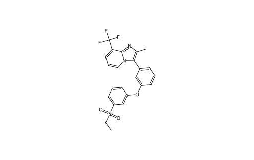 CCS(=O)(=O)c1cccc(Oc2cccc(-c3c(C)nc4c(C(F)(F)F)cccn34)c2)c1